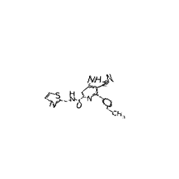 CCOc1nc(C(=O)NCc2nccs2)cc(N)c1C#N